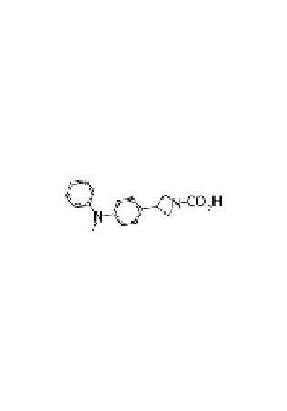 CN(c1ccccc1)c1ccc(C2CN(C(=O)O)C2)cc1